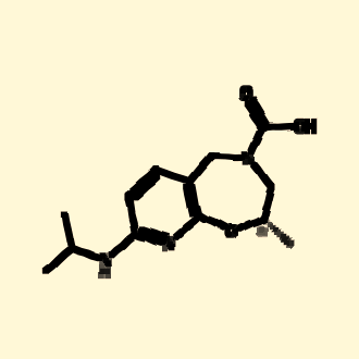 CC(C)Nc1ccc2c(n1)O[C@@H](C)CN(C(=O)O)C2